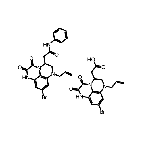 C=CCN1CC(CC(=O)Nc2ccccc2)n2c(=O)c(=O)[nH]c3cc(Br)cc1c32.C=CCN1CC(CC(=O)O)n2c(=O)c(=O)[nH]c3cc(Br)cc1c32